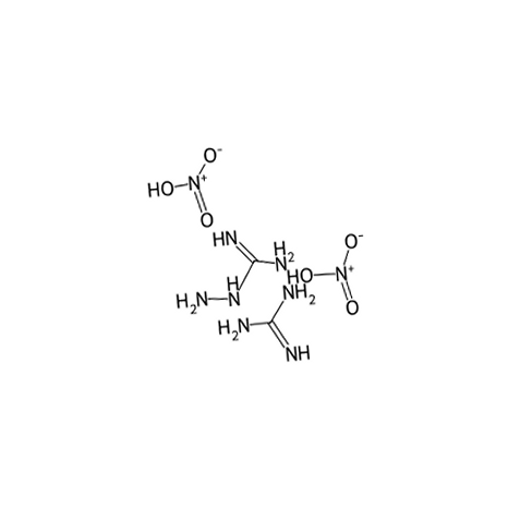 N=C(N)N.N=C(N)NN.O=[N+]([O-])O.O=[N+]([O-])O